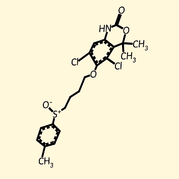 Cc1ccc([S+]([O-])CCCCOc2c(Cl)cc3c(c2Cl)C(C)(C)OC(=O)N3)cc1